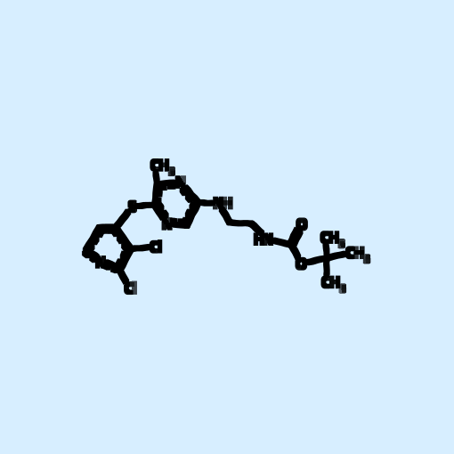 Cc1nc(NCCNC(=O)OC(C)(C)C)cnc1Sc1ccnc(Cl)c1Cl